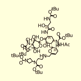 CC(=O)N[C@@H]1CC=C(CNCCN(C(=O)OC(C)(C)C)C2CN(C(=O)OC(C)(C)C)C2)O[C@@H]1C1[C@@H](NC(=O)OC(C)(C)C)C[C@@H](NC(=O)[C@@H](O)CNC(=O)OC(C)(C)C)[C@H](O[C@H]2OC[C@](C)(O)[C@H](N(C)C(=O)OC(C)(C)C)[C@H]2O)[C@H]1O